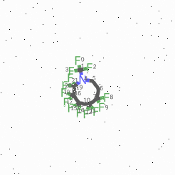 FC(F)(F)N1CCC(F)(F)C(F)(F)C(F)(F)C(F)(F)C1(F)F